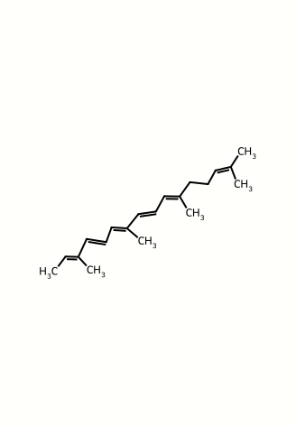 C/C=C(C)/C=C/C=C(C)/C=C/C=C(\C)CCC=C(C)C